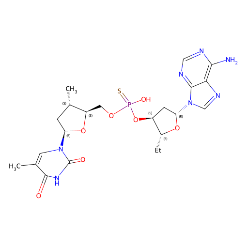 CC[C@H]1O[C@@H](n2cnc3c(N)ncnc32)C[C@@H]1OP(O)(=S)OC[C@H]1O[C@@H](n2cc(C)c(=O)[nH]c2=O)C[C@@H]1C